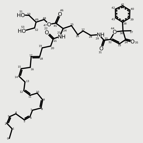 CC/C=C\C/C=C\C/C=C\C/C=C\C/C=C\CC=CCCC(=O)NC(CCCCNC(=O)C1=CC(=O)C(C)(c2ccccc2)O1)C(=O)OCC(CO)CO